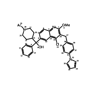 COc1nc2ccc(C(O)(c3ccccc3)C3CCN(C(C)=O)CC3)cc2c(Cl)c1Cc1ccc(-n2cccc2)cc1